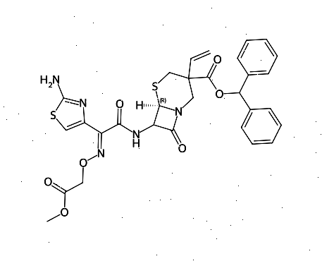 C=CC1(C(=O)OC(c2ccccc2)c2ccccc2)CS[C@@H]2C(NC(=O)C(=NOCC(=O)OC)c3csc(N)n3)C(=O)N2C1